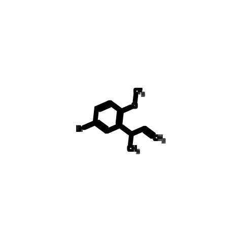 C=C[C](C)c1cc(Br)ccc1OC(F)(F)F